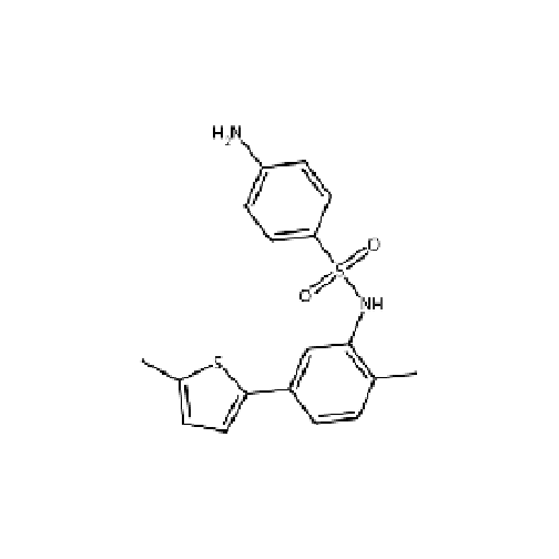 Cc1ccc(-c2ccc(C)c(NS(=O)(=O)c3ccc(N)cc3)c2)s1